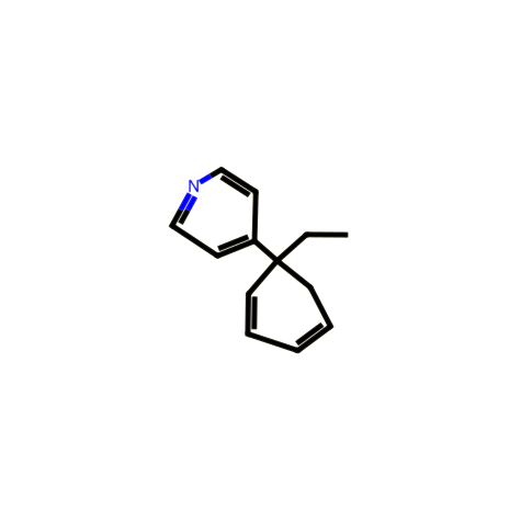 CCC1(c2ccncc2)C=CC=CC1